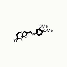 COc1ccc(SCC2Cn3ccc(=O)nc3O2)cc1OC